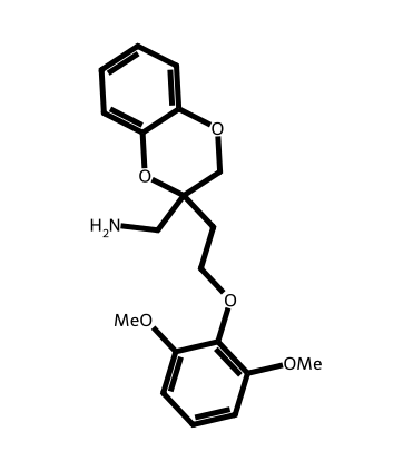 COc1cccc(OC)c1OCCC1(CN)COc2ccccc2O1